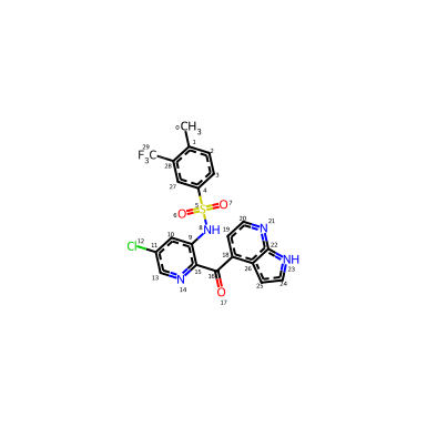 Cc1ccc(S(=O)(=O)Nc2cc(Cl)cnc2C(=O)c2ccnc3[nH]ccc23)cc1C(F)(F)F